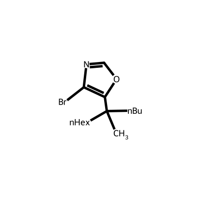 CCCCCCC(C)(CCCC)c1ocnc1Br